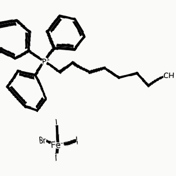 CCCCCCCC[P+](c1ccccc1)(c1ccccc1)c1ccccc1.[Br][Fe-]([I])([I])[I]